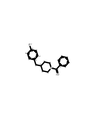 O=C(c1ccccc1)N1CCC(Cc2ccc(F)cc2)CC1